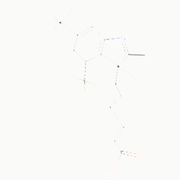 CC1=Nc2cc(C(F)(F)F)cc(C(F)(F)F)c2C1(C)CCCCCC(=O)O